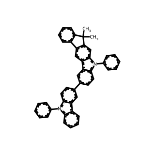 CC1(C)c2ccccc2-c2cc3c4cc(-c5ccc6c(c5)c5ccccc5n6-c5ccccc5)ccc4n(-c4ccccc4)c3cc21